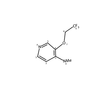 CNc1ccncc1OCC(F)(F)F